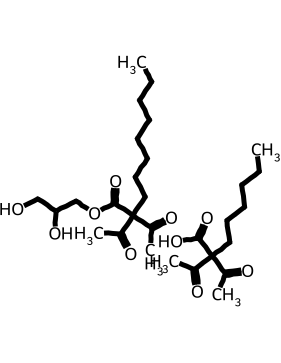 CCCCCCC(C(C)=O)(C(C)=O)C(=O)O.CCCCCCCCC(C(C)=O)(C(C)=O)C(=O)OCC(O)CO